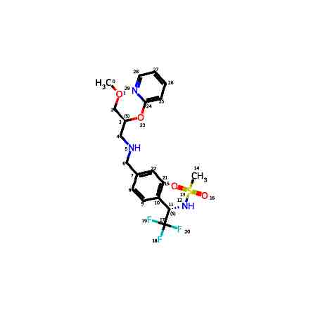 COC[C@H](CNCc1ccc([C@H](NS(C)(=O)=O)C(F)(F)F)cc1)Oc1ccccn1